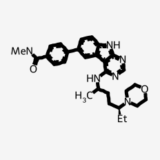 CC[C@@H](CCC(C)Nc1ncnc2[nH]c3ccc(-c4ccc(C(=O)NC)cc4)cc3c12)N1CCOCC1